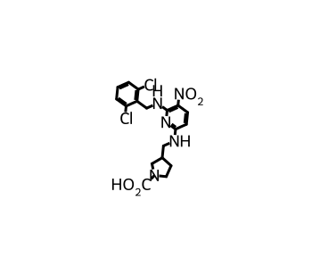 O=C(O)N1CCC(CNc2ccc([N+](=O)[O-])c(NCc3c(Cl)cccc3Cl)n2)C1